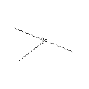 CCCCCCCCCCCCCCCCOC(OCCCCCCCCCCCCCCCC)OCCCCCCCCCCCCCCCC